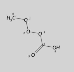 COOOC(=O)O